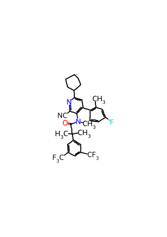 Cc1cc(F)ccc1-c1cc(C2CC[CH]CC2)nc(C#N)c1N(C)C(=O)C(C)(C)c1cc(C(F)(F)F)cc(C(F)(F)F)c1